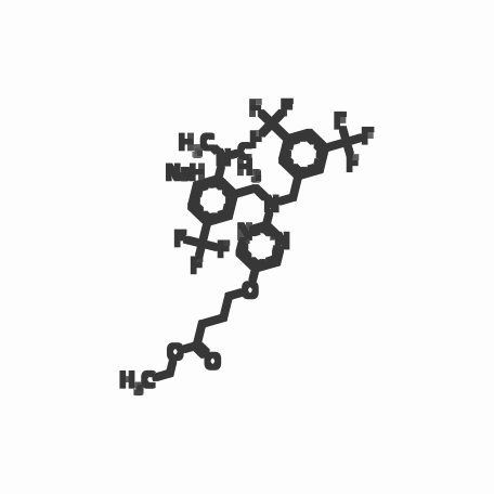 CCOC(=O)CCCOc1cnc(N(Cc2cc(C(F)(F)F)cc(C(F)(F)F)c2)Cc2cc(C(F)(F)F)ccc2N(C)C)nc1.[NaH]